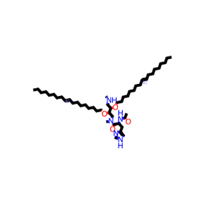 CCCCCCCC/C=C/CCCCCCCCOC(CNC)C(CN(C)C(=O)C(Cc1c[nH]cn1)NC(C)=O)OCCCCCCCC/C=C/CCCCCCCC